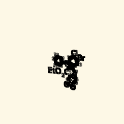 CCOC(=O)c1c(CN2CCS(=O)(=O)CC2)c2cc(Br)c(Cl)cc2n1-c1ccccc1